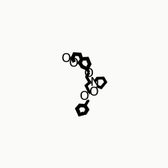 O=C(CC(COc1ccc2ccc(=O)oc2c1)N1CCCCC1)OCc1ccccc1